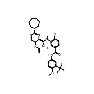 C=C/N=C1/C=NC(N2CCCCCC2)=N/C1=C(/N)Nc1cc(C(=O)Nc2ccc(OC)c(C(F)(F)F)c2)ccc1Cl